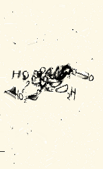 COC(=O)[C@H]1O[C@@H](Oc2cc(C=O)ccc2[N+](=O)[O-])[C@H](CC(=O)O)[C@@H](CC(=O)O)[C@@H]1CC(=O)O